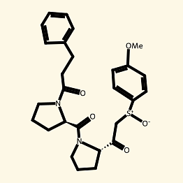 COc1ccc([S+]([O-])CC(=O)[C@@H]2CCCN2C(=O)[C@H]2CCCN2C(=O)CCc2ccccc2)cc1